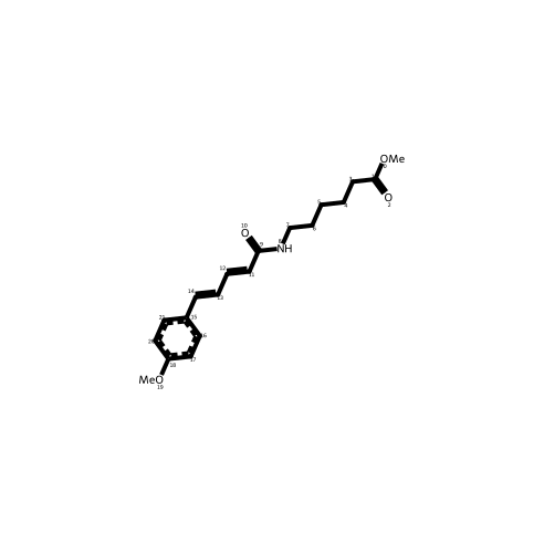 COC(=O)CCCCCNC(=O)C=CC=Cc1ccc(OC)cc1